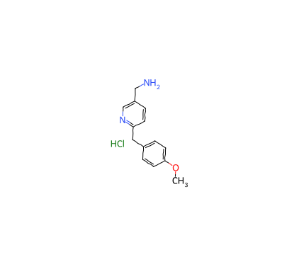 COc1ccc(Cc2ccc(CN)cn2)cc1.Cl